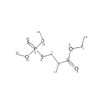 CCOC(=O)C(C)CSP(=S)(OC)OC